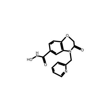 O=C(NO)c1ccc2c(c1)N(Cc1ccccn1)C(=O)CO2